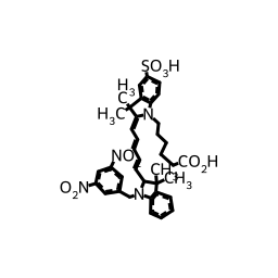 CC1(C)/C(=C/C=C/C=C/C2N(Cc3cc([N+](=O)[O-])cc([N+](=O)[O-])c3)c3ccccc3C2(C)C)N(CCCCCC(=O)O)c2ccc(S(=O)(=O)O)cc21